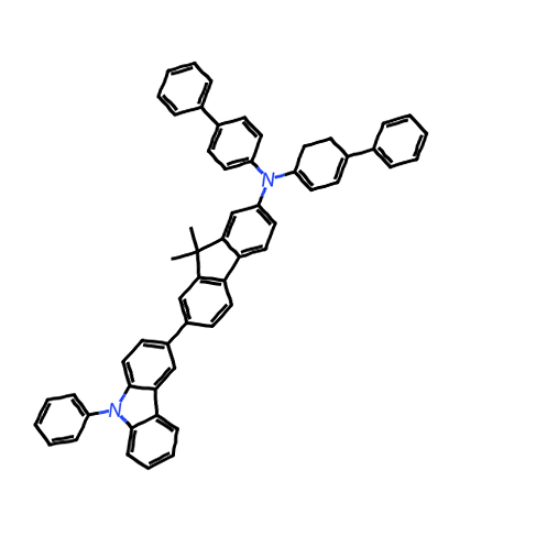 CC1(C)c2cc(-c3ccc4c(c3)c3ccccc3n4-c3ccccc3)ccc2-c2ccc(N(C3=CC=C(c4ccccc4)CC3)c3ccc(-c4ccccc4)cc3)cc21